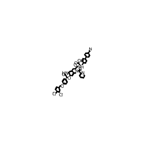 N#Cc1ccc(-c2ccc(C[C@H](NC(=O)C3Cc4cc5c(cc4CN3C(=O)c3ccccn3)O[C@@H](c3ccc(OCc4ccc(Cl)c(Cl)c4)cc3)C(=O)N5)C(=O)O)cc2)cc1